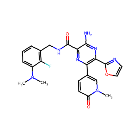 CN(C)c1cccc(CNC(=O)c2nc(-c3ccc(=O)n(C)c3)c(-c3ncco3)nc2N)c1F